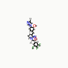 COc1cc(/C=C2\CCCN3C2=NO[C@H](c2cc(F)c(F)c(F)c2)[C@@H]3C)ccc1-n1cnc(C)c1